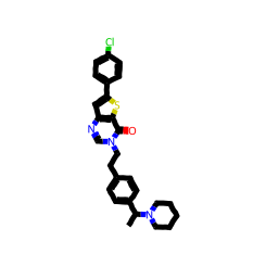 CC(c1ccc(CCn2cnc3cc(-c4ccc(Cl)cc4)sc3c2=O)cc1)N1CCCCC1